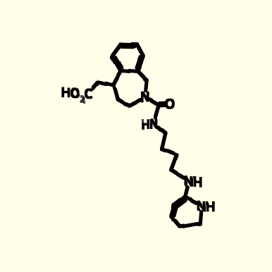 O=C(O)CC1CCN(C(=O)NCCCCNC2=C=CCCN2)Cc2ccccc21